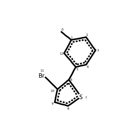 Cc1cccc(-c2sccc2Br)c1